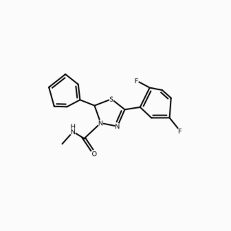 CNC(=O)N1N=C(c2cc(F)ccc2F)SC1c1ccccc1